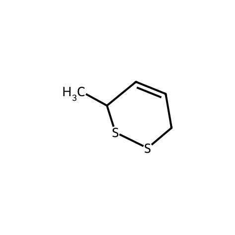 CC1C=CCSS1